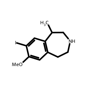 COc1cc2c(cc1I)C(C)CNCC2